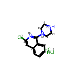 Cl.Cl.Clc1cc2ccccc2c(N2CCNCC2)n1